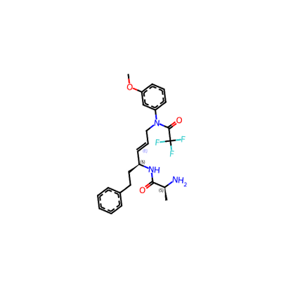 COc1cccc(N(C/C=C/[C@H](CCc2ccccc2)NC(=O)[C@H](C)N)C(=O)C(F)(F)F)c1